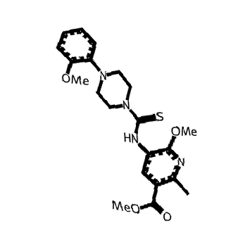 COC(=O)c1cc(NC(=S)N2CCN(c3ccccc3OC)CC2)c(OC)nc1C